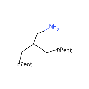 CCCCCCC(CN)CCCCCC